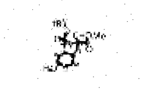 COC(=O)C(C)(Cc1ccc(O)cc1)NC(=O)OC(C)(C)C